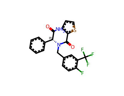 NC(=O)[C@@H](c1ccccc1)N(Cc1ccc(F)c(C(F)(F)F)c1)C(=O)c1cccs1